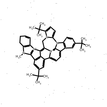 Cn1c2c([n+]3c1-c1cc(C(C)(C)C)cc4c1c-3c1[n+]3c4ccc4c5cc(C(C)(C)C)ccc5n(c43)-c3ccc(C(C)(C)C)n3C1)C=CCC2